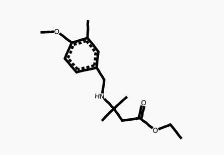 CCOC(=O)CC(C)(C)NCc1ccc(OC)c(C)c1